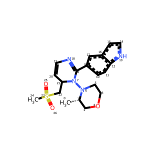 C[C@H]1COCCN1N1C(c2ccc3[nH]ccc3c2)=NC=CC1CS(C)(=O)=O